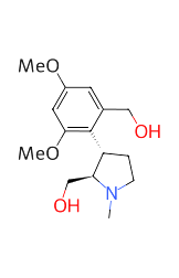 COc1cc(CO)c([C@@H]2CCN(C)[C@H]2CO)c(OC)c1